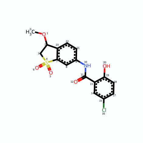 COC1CS(=O)(=O)c2cc(NC(=O)c3cc(Cl)ccc3O)ccc21